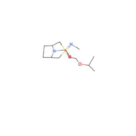 CN=S1(=O)CC2CCC(C1)N2CCCOC(C)C